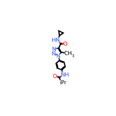 Cc1c(C(=O)NC2CC2)nnn1-c1ccc(NC(=O)C(C)C)cc1